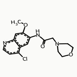 COc1cc2nccc(Cl)c2cc1NC(=O)CN1CCOCC1